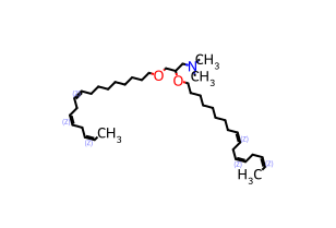 C/C=C\C/C=C\C/C=C\CCCCCCCCOCC(CN(C)C)OCCCCCCCC/C=C\C/C=C\C/C=C\C